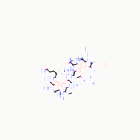 CC(=O)N[C@@H](CCC(N)=O)C(=O)N[C@@H](CC(=O)O)C(=O)N[C@@H](C)C(=O)N[C@@H](CCC(=O)O)C(=O)N[C@@H](CC(=O)O)C(=O)N[C@@H](CC(N)=O)C(=O)N[C@H](C(=O)N[C@@H](C)C(=O)N[C@@H](CO)C(N)=O)[C@@H](C)O